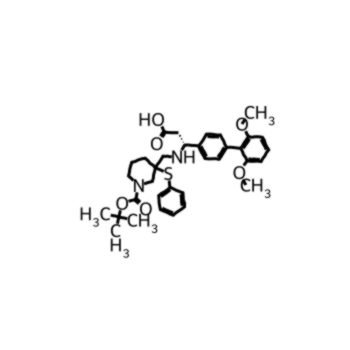 COc1cccc(OC)c1-c1ccc([C@@H](CC(=O)O)NCC2(Sc3ccccc3)CCCN(C(=O)OC(C)(C)C)C2)cc1